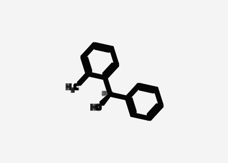 Cc1ccccc1[C@H](O)c1ccccc1